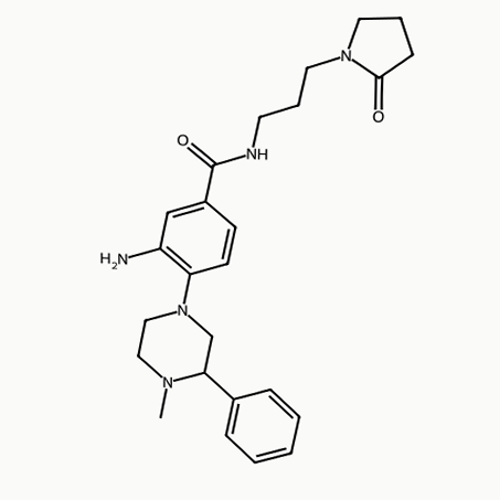 CN1CCN(c2ccc(C(=O)NCCCN3CCCC3=O)cc2N)CC1c1ccccc1